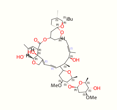 CC[C@H](C)[C@H]1O[C@]2(CC[C@@H]1C)CC1C[C@@H](C/C=C(/C)[C@@H](O)[C@@H](C)C(C3C[C@H](OC)[C@@H](O[C@@H]4C[C@H](OC)[C@@H](O)[C@H](C)O4)[C@H](C)O3)/C=C/C=C3\CO[C@@H]4[C@H](O)C(C)=C[C@@H](C(=O)O1)[C@]34O)O2